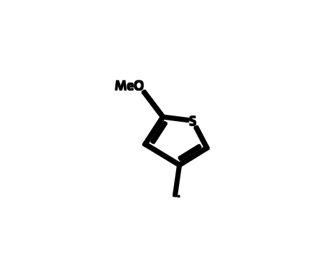 [CH2]c1csc(OC)c1